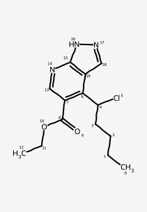 CCCCC(Cl)c1c(C(=O)OCC)cnc2[nH]ncc12